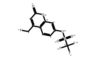 O=c1cc(CF)c2ccc(OS(=O)(=O)C(F)(F)F)cc2o1